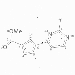 COC(=O)c1ccc(-c2ccnc(C)n2)s1